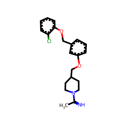 CC(=N)N1CCC(COc2cccc(COc3ccccc3Cl)c2)CC1